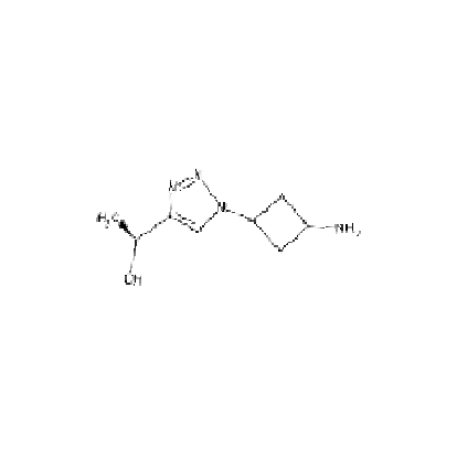 C[C@H](O)c1cn(C2CC(N)C2)nn1